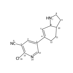 N#Cc1cc(C2=CC3NCCC3CC2)cnc1Cl